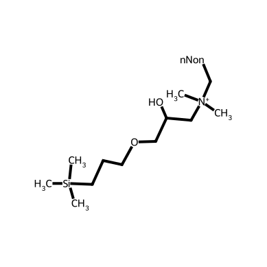 CCCCCCCCCC[N+](C)(C)CC(O)COCCC[Si](C)(C)C